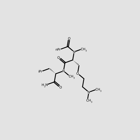 CCCC(=O)N(C)[C@H](COCCN(C)C)C(=O)N(C)[C@@H](CC(C)C)C(N)=O